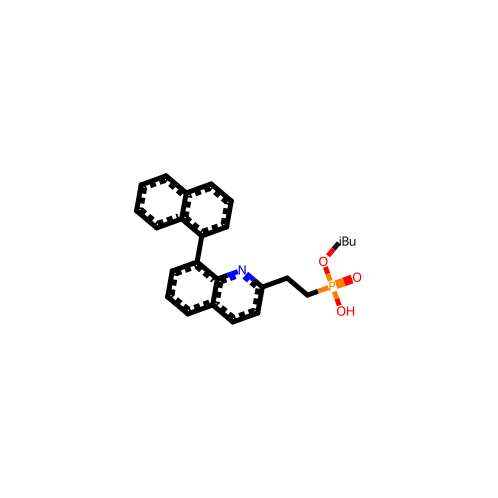 CCC(C)OP(=O)(O)CCc1ccc2cccc(-c3cccc4ccccc34)c2n1